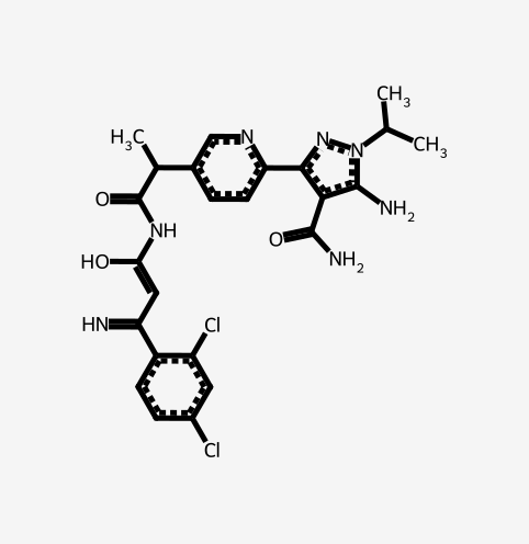 CC(C(=O)N/C(O)=C/C(=N)c1ccc(Cl)cc1Cl)c1ccc(-c2nn(C(C)C)c(N)c2C(N)=O)nc1